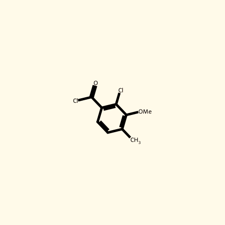 COc1c(C)ccc(C(=O)Cl)c1Cl